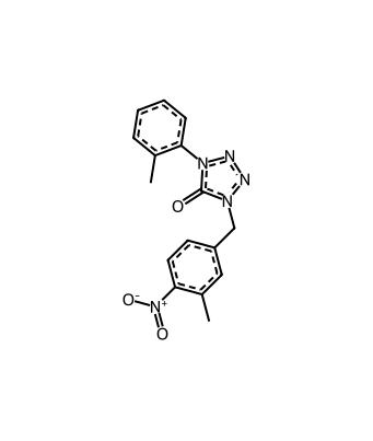 Cc1ccccc1-n1nnn(Cc2ccc([N+](=O)[O-])c(C)c2)c1=O